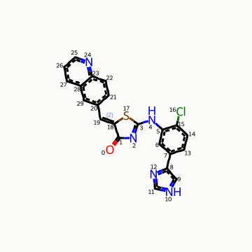 O=C1N=C(Nc2cc(-c3c[nH]cn3)ccc2Cl)S/C1=C\c1ccc2ncccc2c1